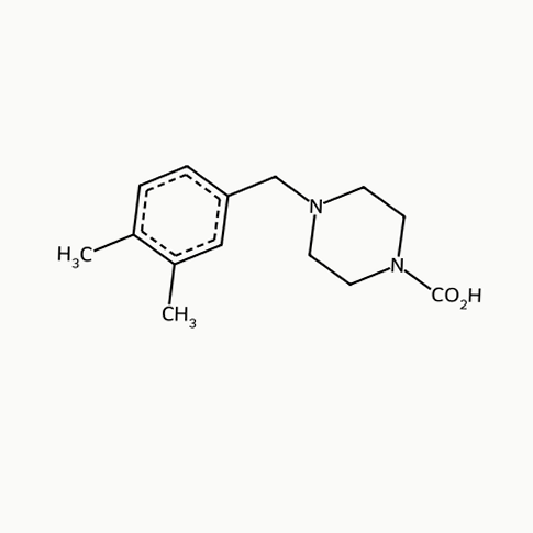 Cc1ccc(CN2CCN(C(=O)O)CC2)cc1C